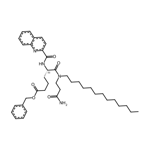 CCCCCCCCCCCCCN(CCC(N)=O)C(=O)[C@H](CCCC(=O)OCc1ccccc1)NC(=O)c1ccc2ccccc2n1